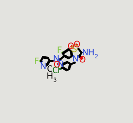 Cc1nc(F)ccc1-c1nc(-c2cc3c(cc2F)S(=O)(=O)C[C@H](N)C(=O)N3Cc2ccc(Cl)cc2)no1